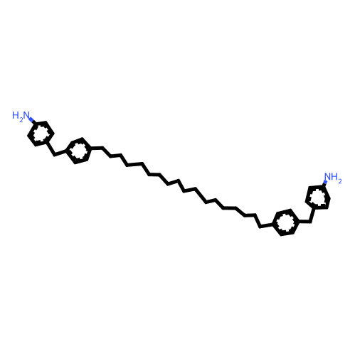 Nc1ccc(Cc2ccc(CCCCCCCCCCCCCCCCCCc3ccc(Cc4ccc(N)cc4)cc3)cc2)cc1